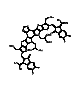 [C-]#[N+]C([N+]#[C-])=C1/C(=C/c2sc3c(sc4c5c6nsnc6c6c7sc8c(CCCCCCCCCCC)c(/C=C9\C(=O)c%10cc(F)c(F)cc%10C9=C(C#N)C#N)sc8c7n(CC(CCCCCCCC)CCCCCCCCCC)c6c5n(CC(CCCCCCCC)CCCCCCCCCC)c34)c2CCCCCCCCCCC)C(=O)c2cc(F)c(F)cc21